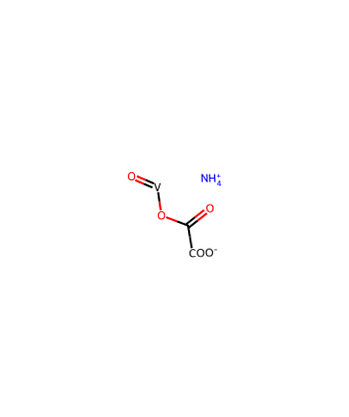 [NH4+].[O]=[V][O]C(=O)C(=O)[O-]